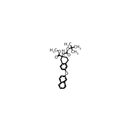 COC(=O)C1(NC(=O)OC(C)(C)C)CCc2cc(Oc3ccc4ccccc4c3)ccc2C1